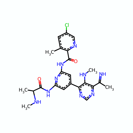 CNc1c(C(C)=N)ncnc1-c1cc(NC(=O)c2ncc(Cl)cc2C)nc(NC(=O)C(C)NC)c1